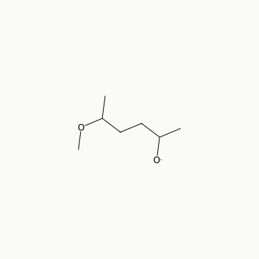 COC(C)CCC(C)[O]